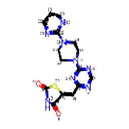 O=C1NC(=O)C(=Cc2ncnc(N3CCN(c4ncccn4)CC3)n2)S1